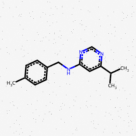 Cc1ccc(CNc2cc(C(C)C)ncn2)cc1